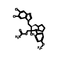 CC(COC(N)=O)(Nc1ccc(OC(F)(F)F)cc1)[C@@H](CC1CCCC1)Cn1cnc2cc(Cl)c(Cl)cc21